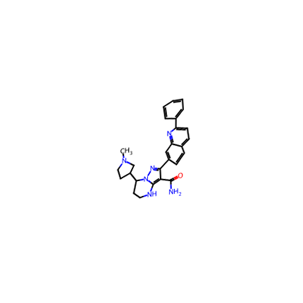 CN1CCC(C2CCNc3c(C(N)=O)c(-c4ccc5ccc(-c6ccccc6)nc5c4)nn32)C1